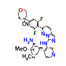 CO[C@@H]1[C@H](N)C[C@H](c2ccncc2Nc2ncc3ccc(-c4c(F)cc(C5(C#N)CCOCC5)cc4F)nn23)C[C@@H]1C